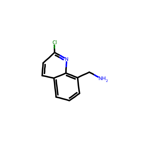 NCc1cccc2ccc(Cl)nc12